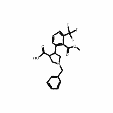 COC(=O)c1c(C2CN(Cc3ccccc3)CC2C(=O)O)cccc1C(F)(F)F